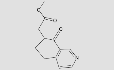 COC(=O)CC1CCc2ccncc2C1=O